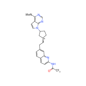 CNc1ncnc2c1ccn2C1CC[C@@H](CCc2ccc3ccc(NC(=O)C(F)(F)F)nc3c2)C1